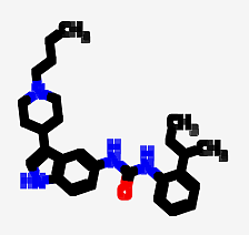 CCCCN1CCC(c2c[nH]c3ccc(NC(=O)Nc4ccccc4C(C)CC)cc23)CC1